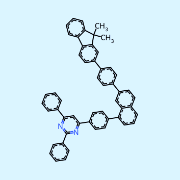 CC1(C)c2ccccc2-c2ccc(-c3ccc(-c4ccc5cccc(-c6ccc(-c7cc(-c8ccccc8)nc(-c8ccccc8)n7)cc6)c5c4)cc3)cc21